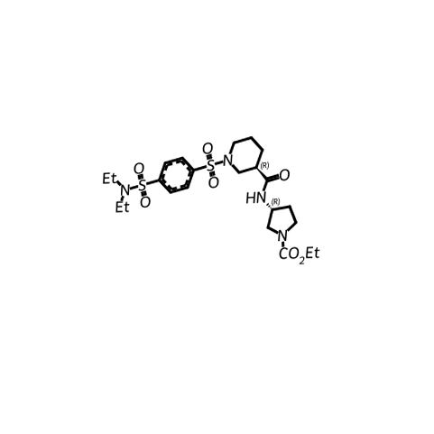 CCOC(=O)N1CC[C@@H](NC(=O)[C@@H]2CCCN(S(=O)(=O)c3ccc(S(=O)(=O)N(CC)CC)cc3)C2)C1